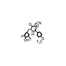 N#CCNC(=O)[C@H](Cc1cc(I)c(O)c(I)c1)NC(=O)c1ccc(OC(F)(F)F)cc1